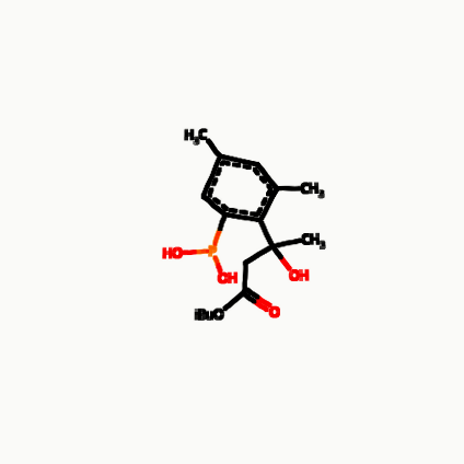 Cc1cc(C)c(C(C)(O)CC(=O)OCC(C)C)c(P(O)O)c1